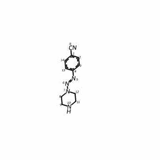 N#Cc1ccc(/N=N/N2CCNCC2)cc1